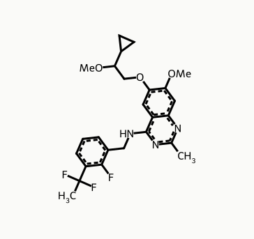 COc1cc2nc(C)nc(NCc3cccc(C(C)(F)F)c3F)c2cc1OCC(OC)C1CC1